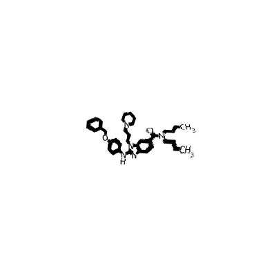 CCCCN(CCCC)C(=O)c1ccc2nc(Nc3ccc(OCc4ccccc4)cc3)n(CCCN3CCCCC3)c2c1